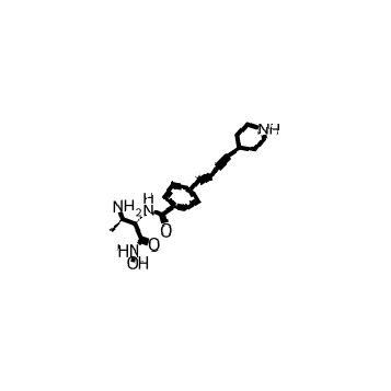 C[C@@H](N)[C@H](NC(=O)c1ccc(C#CC#CC2CCNCC2)cc1)C(=O)NO